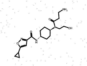 NCCC(=O)N(CCO)[C@H]1CC[C@H](NC(=O)c2cc(C3CC3)on2)CC1